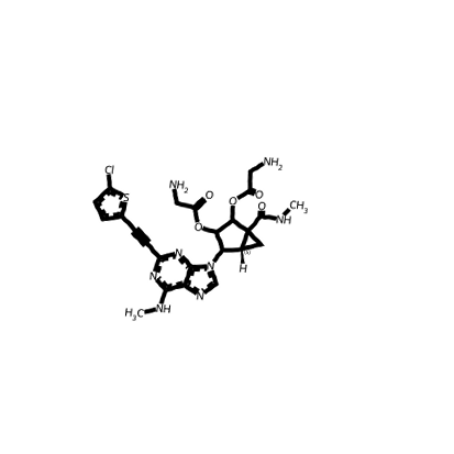 CNC(=O)C12C[C@@H]1C(n1cnc3c(NC)nc(C#Cc4ccc(Cl)s4)nc31)C(OC(=O)CN)C2OC(=O)CN